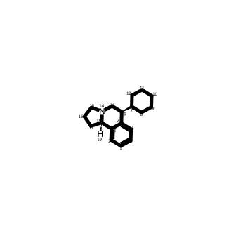 c1ccc2c(c1)[C@H](C1CCCCC1)CN1CCC[C@H]21